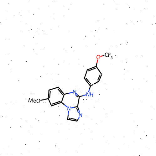 COc1ccc2nc(Nc3ccc(OC(F)(F)F)cc3)c3nccn3c2c1